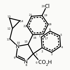 O=C(O)C1(c2ccccc2)N=CN(CC2CC2)C1c1ccc(Cl)cc1